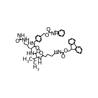 CC(C)[C@H](NC(=O)CCCCCNC(=O)OCC1c2ccccc2-c2ccccc21)C(=O)N[C@@H](CCCNC(N)=O)C(=O)Nc1ccc(COC(=O)NCc2ccccc2)cc1